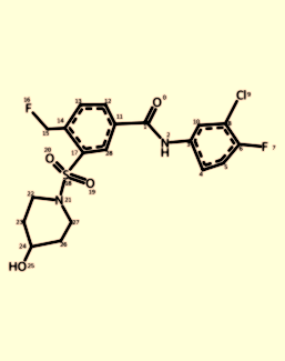 O=C(Nc1ccc(F)c(Cl)c1)c1ccc(CF)c(S(=O)(=O)N2CCC(O)CC2)c1